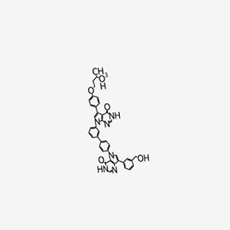 CC(O)CCOc1ccc(-c2cn(-c3cccc(-c4ccc(-n5cc(-c6cccc(CO)c6)c6nc[nH]c(=O)c65)cc4)c3)c3nc[nH]c(=O)c23)cc1